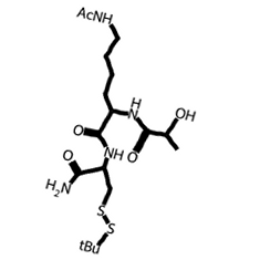 CC(=O)NCCCCC(NC(=O)C(C)O)C(=O)NC(CSSC(C)(C)C)C(N)=O